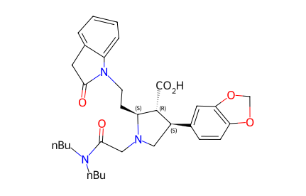 CCCCN(CCCC)C(=O)CN1C[C@H](c2ccc3c(c2)OCO3)[C@@H](C(=O)O)[C@@H]1CCN1C(=O)Cc2ccccc21